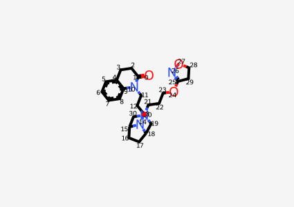 O=C1CCc2ccccc2N1CCCN1C2CCC1CN(CCCOC1=NOCC1)C2